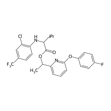 CC(OC(=O)C(Nc1ccc(C(F)(F)F)cc1Cl)C(C)C)c1cccc(Oc2ccc(F)cc2)n1